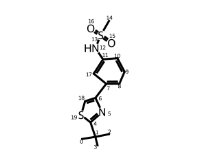 CC(C)(C)c1nc(-c2cccc(NS(C)(=O)=O)c2)cs1